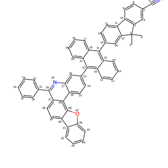 CC1(C)c2cc(C#N)ccc2-c2ccc(-c3c4ccccc4c(-c4ccc5c(c4)nc(-c4ccccc4)c4ccc6c7ccccc7oc6c45)c4ccccc34)cc21